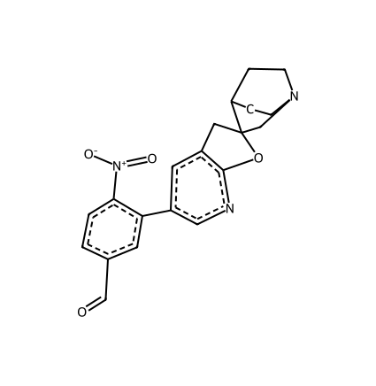 O=Cc1ccc([N+](=O)[O-])c(-c2cnc3c(c2)CC2(CN4CCC2CC4)O3)c1